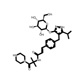 CC(C)c1[nH]nc(O[C@@H]2O[C@H](CO)[C@@H](O)[C@H](O)[C@H]2O)c1Cc1ccc(/C=C/C(=O)NC(C)(C)C(=O)N2CCNCC2)cc1